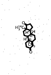 C[C@]12CCC(=O)C=C1CC[C@@H]1[C@@H]2CC[C@]2([14CH3])C(=O)CC[C@@H]12